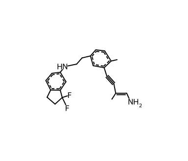 C/C(C#Cc1cc(CCNc2ccc3c(c2)C(F)(F)CC3)ccc1C)=C\N